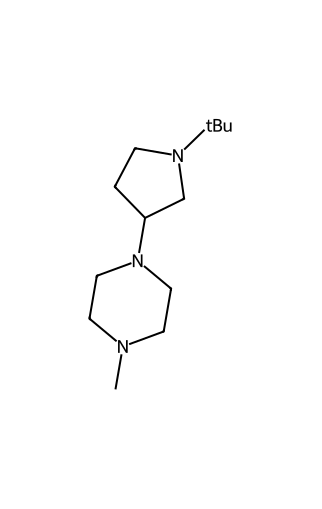 CN1CCN(C2CCN(C(C)(C)C)C2)CC1